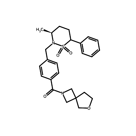 C[C@H]1CCC(c2ccccc2)S(=O)(=O)N1Cc1ccc(C(=O)N2CC3(CCOC3)C2)cc1